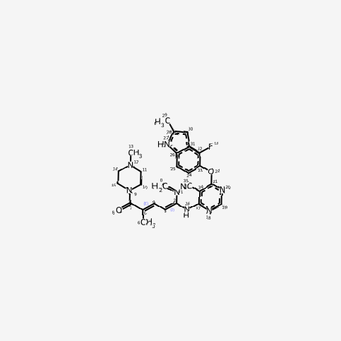 C=N/C(=C\C=C(/C)C(=O)N1CCN(C)CC1)Nc1ncnc(Oc2ccc3[nH]c(C)cc3c2F)c1C#N